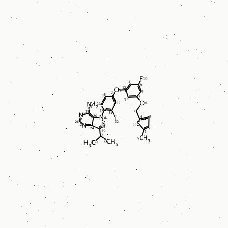 Cc1ccc(COc2cc(F)cc(Oc3ccc(-n4nc(C(C)C)c5ncnc(N)c54)c(F)c3)c2)s1